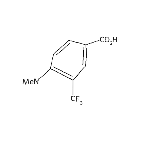 CNc1ccc(C(=O)O)cc1C(F)(F)F